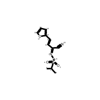 CC(C)S(=O)(=O)O/N=C(C#N)/C=C/c1ccco1